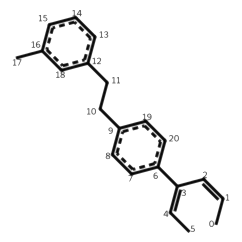 C/C=C\C(=C/C)c1ccc(CCc2cccc(C)c2)cc1